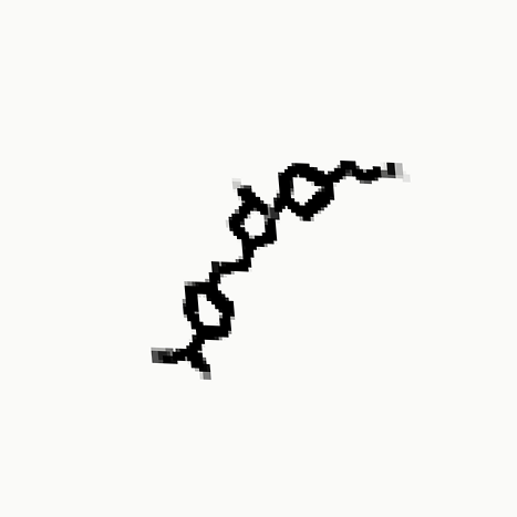 CCOc1ccc(N2CC(COc3ccc(C(=O)O)cc3)CC2=O)cc1